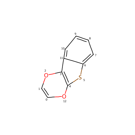 C1=COc2c(sc3ccccc23)O1